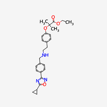 CCOC(=O)C(C)(C)Oc1ccc(CCNCc2ccc(-c3noc(C4CC4)n3)cc2)cc1